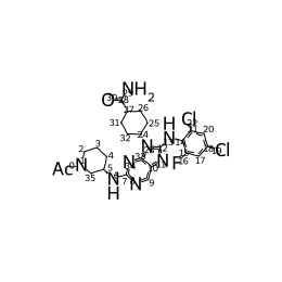 CC(=O)N1CCC[C@@H](Nc2ncc3nc(Nc4c(F)cc(Cl)cc4Cl)n([C@H]4CC[C@H](C(N)=O)CC4)c3n2)C1